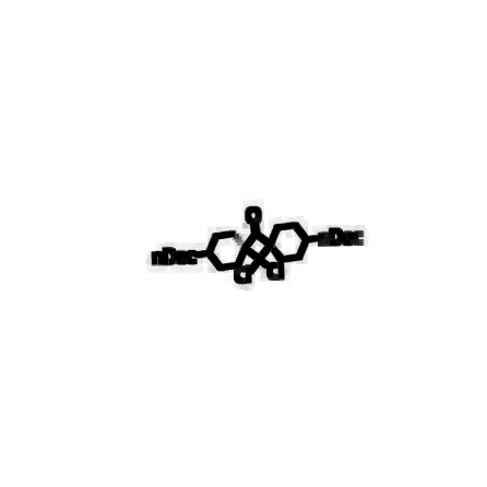 CCCCCCCCCCC1CC[C@]2(CC1)C(=O)[C@@]1(CCC(CCCCCCCCCC)CC1)C2(Cl)Cl